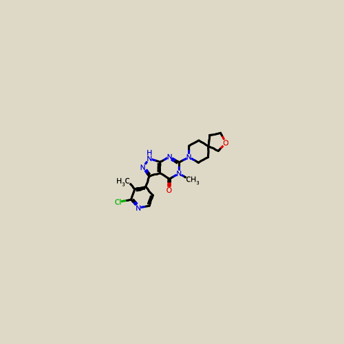 Cc1c(-c2n[nH]c3nc(N4CCC5(CCOC5)CC4)n(C)c(=O)c23)ccnc1Cl